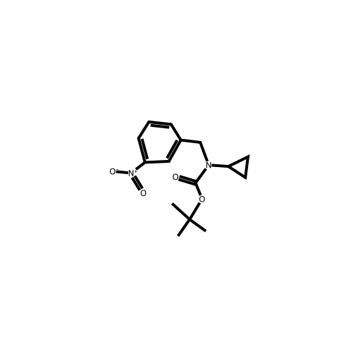 CC(C)(C)OC(=O)N(Cc1cccc([N+](=O)[O-])c1)C1CC1